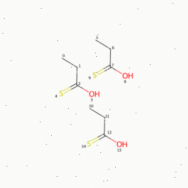 CCC(O)=S.CCC(O)=S.CCC(O)=S